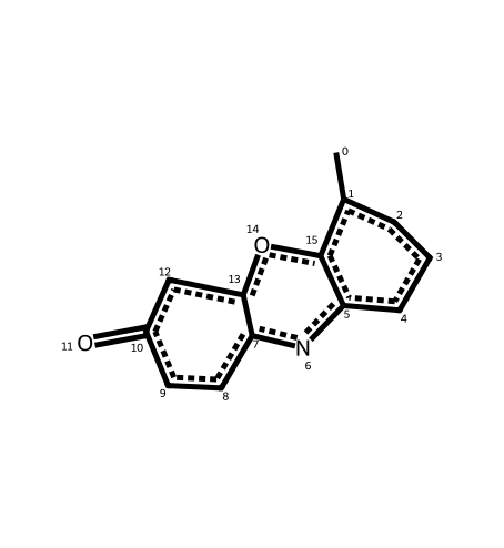 Cc1cccc2nc3ccc(=O)cc-3oc12